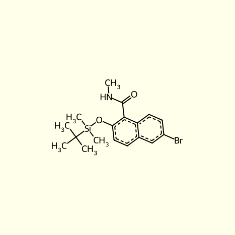 CNC(=O)c1c(O[Si](C)(C)C(C)(C)C)ccc2cc(Br)ccc12